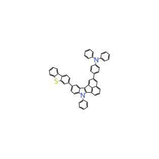 c1ccc(N(c2ccccc2)c2ccc(-c3cc4c5c(cccc5c3)-c3c-4c4cc(-c5ccc6c(c5)sc5ccccc56)ccc4n3-c3ccccc3)cc2)cc1